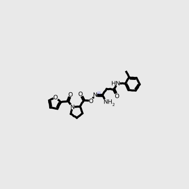 Cc1ccccc1NC(=O)C/C(N)=N/OC(=O)C1CCCN1C(=O)c1ccco1